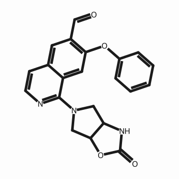 O=Cc1cc2ccnc(N3CC4NC(=O)OC4C3)c2cc1Oc1ccccc1